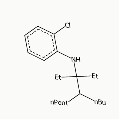 CCCCCC(CCCC)C(CC)(CC)Nc1ccccc1Cl